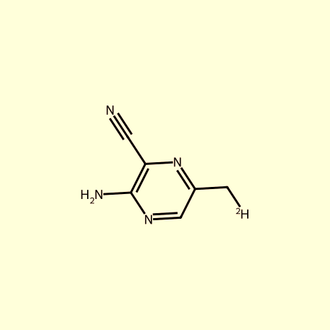 [2H]Cc1cnc(N)c(C#N)n1